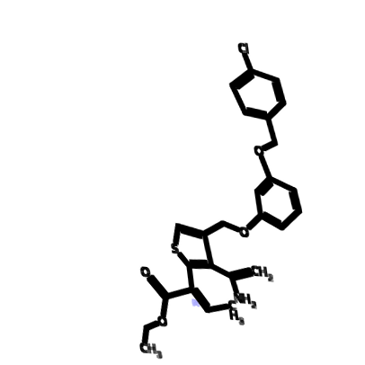 C=C(N)c1c(COc2cccc(OCc3ccc(Cl)cc3)c2)csc1/C(=C\C)C(=O)OCC